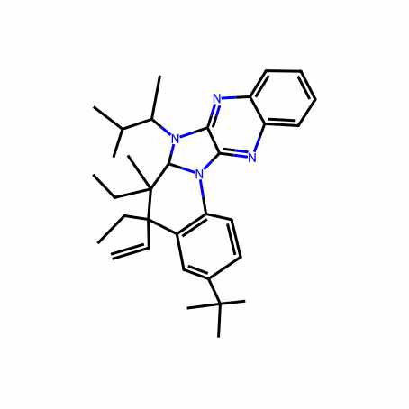 C=CC1(CC)c2cc(C(C)(C)C)ccc2N2c3nc4ccccc4nc3N(C(C)C(C)C)C2C1(C)CC